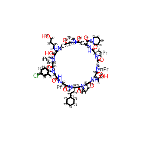 CCCN1CC(=O)N(C)[C@@H](CC(C)C)C(=O)N[C@H](C(=O)N2CCCCC2)CC(=O)N(C)[C@@H](C)C(=O)CN[C@@H](CCCCO)C(O)N(C)[C@@H](CC(C)C)C(=O)N(C)[C@@H](Cc2cccc(Cl)c2)C(=O)N[C@@H](C(C)C)C(=O)N(C)[C@@H](CCC2CCCCC2)C(=O)N(C)[C@@H](CC(C)C)C(=O)N[C@@H](C(C)O)C1=O